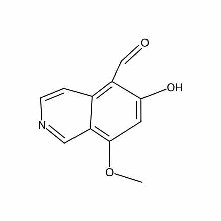 COc1cc(O)c(C=O)c2ccncc12